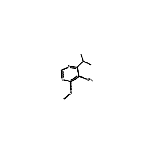 CSc1ncnc(C(C)C)c1N